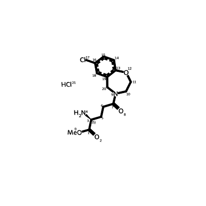 COC(=O)[C@@H](N)CCC(=O)N1CCOc2ccc(Cl)cc2C1.Cl